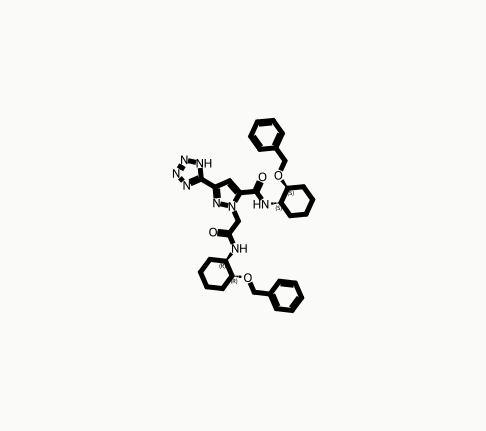 O=C(Cn1nc(-c2nnn[nH]2)cc1C(=O)N[C@H]1CCCC[C@@H]1OCc1ccccc1)N[C@@H]1CCCC[C@H]1OCc1ccccc1